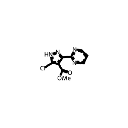 COC(=O)c1c(-c2ncccn2)n[nH]c1Cl